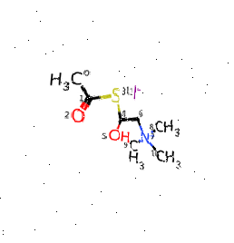 CC(=O)SC(O)C[N+](C)(C)C.[I-]